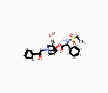 O=C(C[N+]12CCC(CC1)[C@@H](OC(=O)C(NS(=O)(=O)CC(F)(F)F)c1ccccc1)C2)c1ccccc1.[Br-]